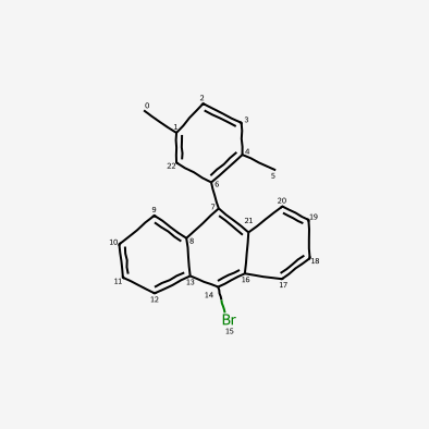 Cc1ccc(C)c(-c2c3ccccc3c(Br)c3ccccc23)c1